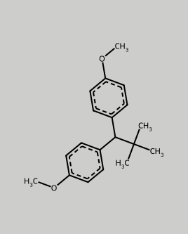 COc1ccc(C(c2ccc(OC)cc2)C(C)(C)C)cc1